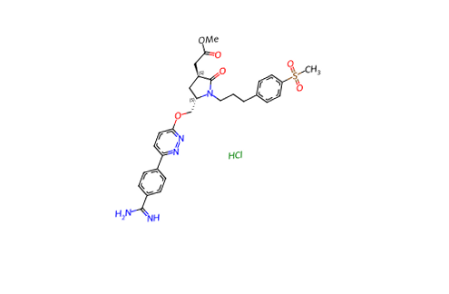 COC(=O)C[C@@H]1C[C@@H](COc2ccc(-c3ccc(C(=N)N)cc3)nn2)N(CCCc2ccc(S(C)(=O)=O)cc2)C1=O.Cl